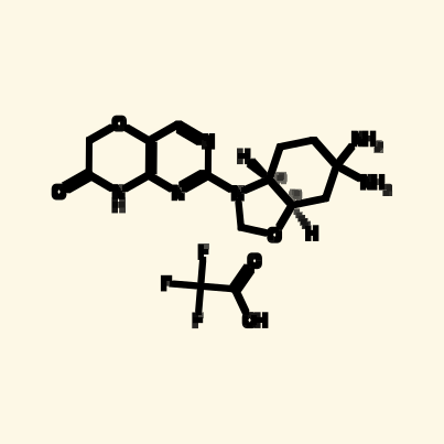 NC1(N)CC[C@@H]2[C@@H](C1)OCN2c1ncc2c(n1)NC(=O)CO2.O=C(O)C(F)(F)F